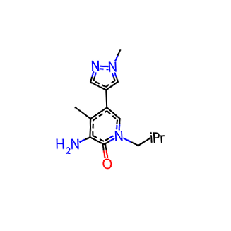 Cc1c(-c2cnn(C)c2)cn(CC(C)C)c(=O)c1N